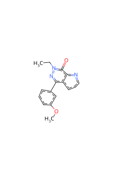 CCn1nc(-c2cccc(OC)c2)c2cccnc2c1=O